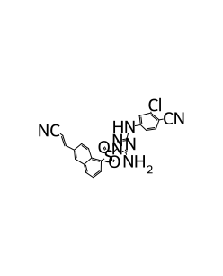 N#CC=Cc1ccc2c(S(=O)(=O)n3nc(Nc4ccc(C#N)c(Cl)c4)nc3N)cccc2c1